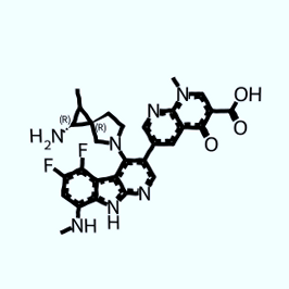 CNc1cc(F)c(F)c2c1[nH]c1ncc(-c3cnc4c(c3)c(=O)c(C(=O)O)cn4C)c(N3CC[C@]4(C3)C(C)[C@H]4N)c12